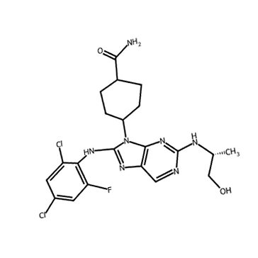 C[C@H](CO)Nc1ncc2nc(Nc3c(F)cc(Cl)cc3Cl)n(C3CCC(C(N)=O)CC3)c2n1